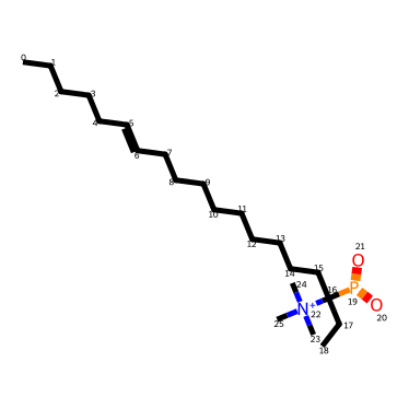 CCCCCC=CCCCCCCCCCC(CC)(P(=O)=O)[N+](C)(C)C